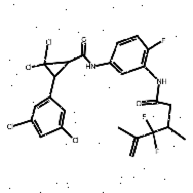 C=C(C)C(F)(F)C(C)CC(=O)Nc1cc(NC(=O)C2C(c3cc(Cl)cc(Cl)c3)C2(Cl)Cl)ccc1F